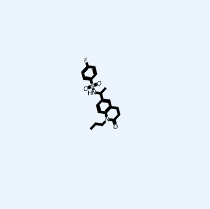 CCCN1C(=O)CCc2cc(C(C)NS(=O)(=O)c3ccc(F)cc3)ccc21